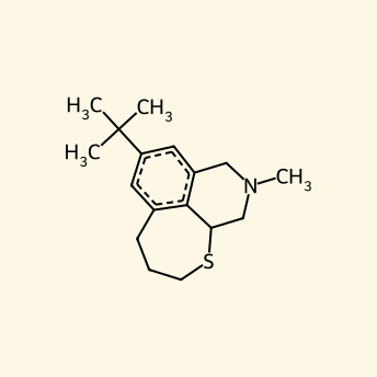 CN1Cc2cc(C(C)(C)C)cc3c2C(C1)SCCC3